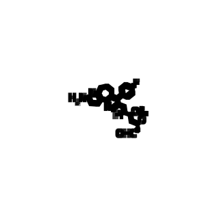 CC(C)c1nc2c(c(-c3ccc(F)cc3)c1/C=C/[C@@H]1C[C@H](CC=O)OC(C)(C)O1)CCCc1nc(N)ccc1-2